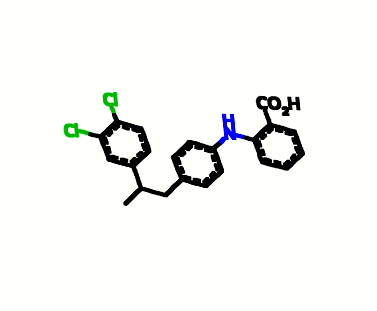 CC(Cc1ccc(Nc2ccccc2C(=O)O)cc1)c1ccc(Cl)c(Cl)c1